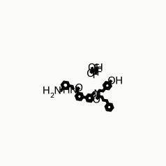 NCC1CCCC(CNC(=O)c2cccc(-c3cccc(CN(CCc4ccc(O)cc4)C(=O)CCCc4ccccc4)c3)c2)C1.O=C(O)C(F)(F)F